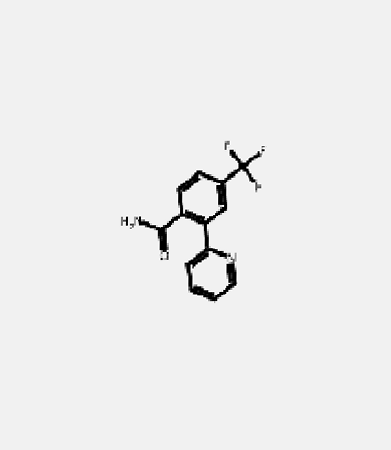 NC(=O)c1ccc(C(F)(F)F)cc1-c1ccccn1